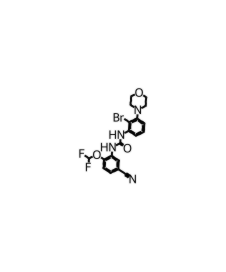 N#Cc1ccc(OC(F)F)c(NC(=O)Nc2cccc(N3CCOCC3)c2Br)c1